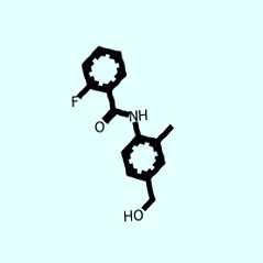 Cc1cc(CO)ccc1NC(=O)c1ccccc1F